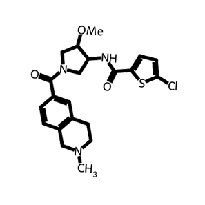 COC1CN(C(=O)c2ccc3c(c2)CCN(C)C3)CC1NC(=O)c1ccc(Cl)s1